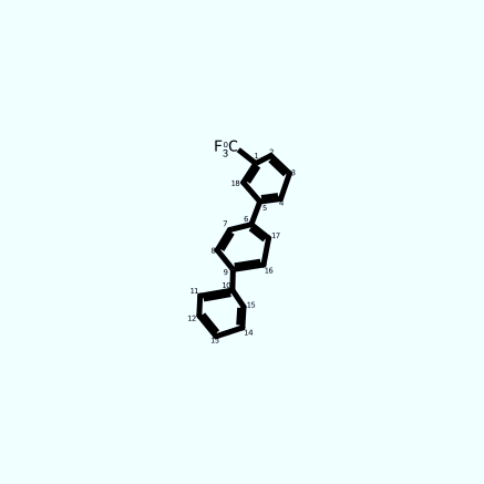 FC(F)(F)c1cccc(-c2ccc(-c3ccccc3)cc2)c1